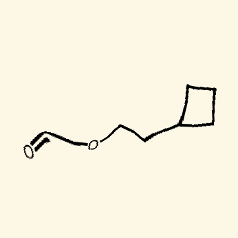 O=COCCC1CCC1